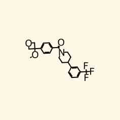 COC1(c2ccc(C(=O)N3CCC(c4cccc(C(F)(F)F)c4)CC3)cc2)COC1